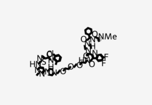 CN[C@@H](C)C(=O)NC(C(=O)N1CCN(C(=O)c2c(C(=O)NCCOCCOCCOCCN3CCN(c4cc(Nc5ncc(C(=O)Nc6c(C)cccc6Cl)s5)nc(C)n4)CC3)c3cc(F)c(F)cc3n2C)CC1)C1CCCCC1